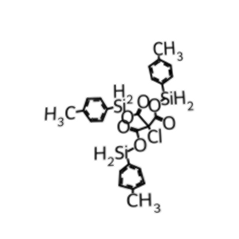 Cc1ccc([SiH2]OC(=O)C(Cl)(C(=O)O[SiH2]c2ccc(C)cc2)C(=O)O[SiH2]c2ccc(C)cc2)cc1